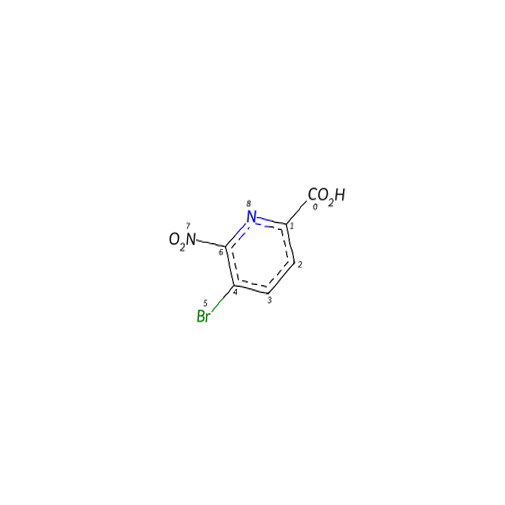 O=C(O)c1ccc(Br)c([N+](=O)[O-])n1